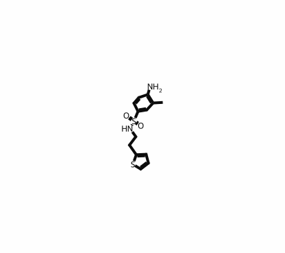 Cc1cc(S(=O)(=O)NCCc2cccs2)ccc1N